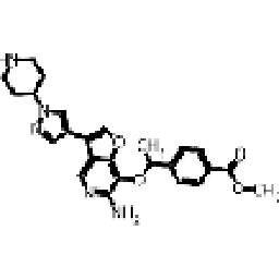 COC(=O)c1ccc(C(C)Oc2c(N)ncc3c(-c4cnn(C5CCNCC5)c4)coc23)cc1